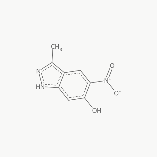 Cc1n[nH]c2cc(O)c([N+](=O)[O-])cc12